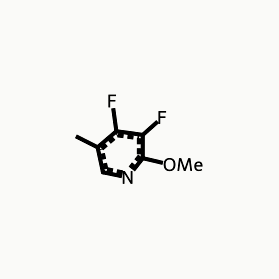 COc1ncc(C)c(F)c1F